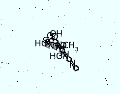 COc1cc(N=Nc2ccc(N=Nc3ccccc3)cc2)c(CO)cc1N=Nc1ccc2c(S(=O)(=O)O)cc(S(=O)(=O)O)c(N)c2c1O